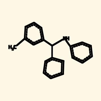 Cc1cccc(C(Nc2ccccc2)c2ccccc2)c1